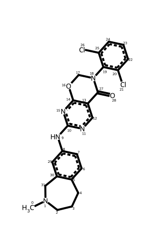 CN1CCCc2ccc(Nc3ncc4c(n3)OCN(c3c(Cl)cccc3Cl)C4=O)cc2C1